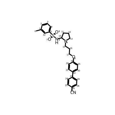 Cc1cccc(S(=O)(=O)NC2CCCN2CCCOc2ccc(-c3ccc(C#N)cc3)cc2)c1